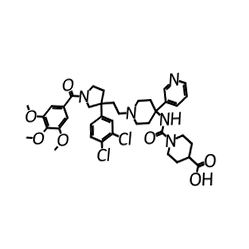 COc1cc(C(=O)N2CCC(CCN3CCC(NC(=O)N4CCC(C(=O)O)CC4)(c4cccnc4)CC3)(c3ccc(Cl)c(Cl)c3)C2)cc(OC)c1OC